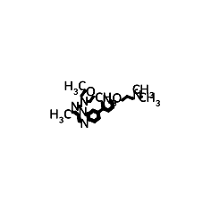 Cc1nc(N2C[C@@H](C)O[C@H](C)C2)n2c1cnc1ccc(-c3ccc(OCCCN(C)C)nc3)cc12